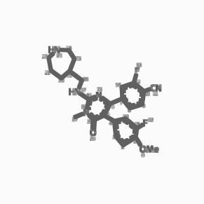 COc1ccc(-c2c(-c3ccc(C#N)c(F)c3)nc(NCC3CCCNCC3)n(C)c2=O)cc1F